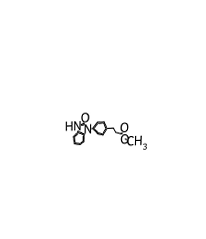 COC(=O)CCc1ccc(-n2c(=O)[nH]c3ccccc32)cc1